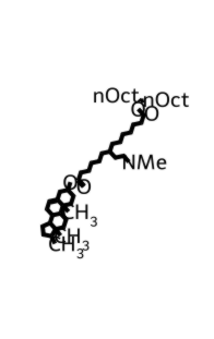 CCCCCCCCC(CCCCCCCC)OC(=O)CCCCCCC(CCCCCC(=O)OC1CCC2(C)C(=CCC3C2CCC2(C)C(C)CCC32)C1)CCNC